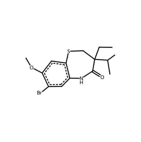 CCC1(C(C)C)CSc2cc(OC)c(Br)cc2NC1=O